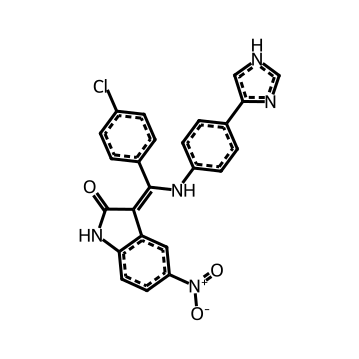 O=C1Nc2ccc([N+](=O)[O-])cc2C1=C(Nc1ccc(-c2c[nH]cn2)cc1)c1ccc(Cl)cc1